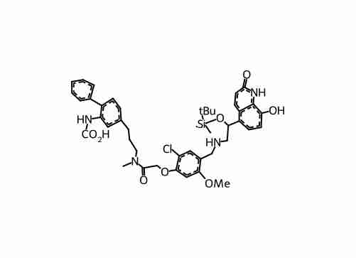 COc1cc(OCC(=O)N(C)CCCc2ccc(-c3ccccc3)c(NC(=O)O)c2)c(Cl)cc1CNCC(O[Si](C)(C)C(C)(C)C)c1ccc(O)c2[nH]c(=O)ccc12